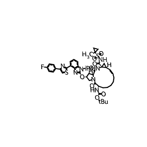 CC(C)n1c(O[C@@H]2C[C@H]3C(=O)N[C@]4(C(=O)NS(=O)(=O)C5(C)CC5)C[C@H]4/C=C\CCCCC[C@H](NC(=O)OC(C)(C)C)C(=O)N3C2)nc2c(-c3nc(-c4ccc(F)cc4)cs3)cccc21